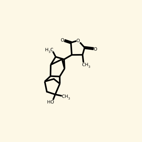 CC1C(=O)OC(=O)C1C1C(C)C2CC1C1C2C2CC1C(C)(O)C2